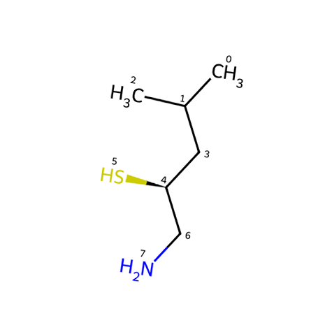 CC(C)C[C@H](S)CN